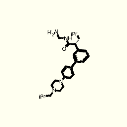 CC(C)C[C@@H](C(=O)NCN)c1cccc(-c2ccc(N3CCN(CC(C)C)CC3)cc2)c1